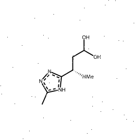 CN[C@@H](CC(O)O)c1nnc(C)[nH]1